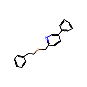 c1ccc(CCSCc2ccc(-c3ccccc3)cn2)cc1